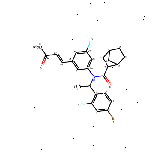 BC(c1ccc(Br)cc1F)N(C(=O)C1CC2CCC1C2)c1cc(F)cc(/C=C/C(=O)OC)c1